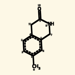 Cc1ccc2c(c1)CNC(=O)C2